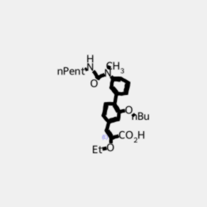 CCCCCNC(=O)N(C)c1cccc(-c2ccc(/C=C(/OCC)C(=O)O)cc2OCCCC)c1